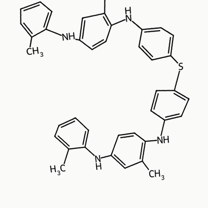 Cc1ccccc1Nc1ccc(Nc2ccc(Sc3ccc(Nc4ccc(Nc5ccccc5C)cc4C)cc3)cc2)c(C)c1